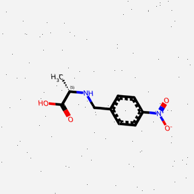 C[C@H](NCc1ccc([N+](=O)[O-])cc1)C(=O)O